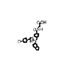 O=C(O)CCNC(=O)c1ccc(CN(c2ccc3c(c2)CCC3)c2nc(-c3ccc(Cl)cc3)cs2)cc1